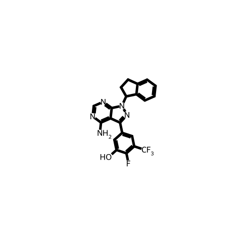 Nc1ncnc2c1c(-c1cc(O)c(F)c(C(F)(F)F)c1)nn2C1CCc2ccccc21